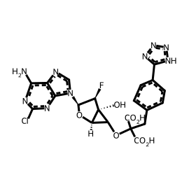 Nc1nc(Cl)nc2c1ncn2[C@@H]1O[C@@H]2C(OC(Cc3ccc(-c4nnn[nH]4)cc3)(C(=O)O)C(=O)O)[C@]2(O)[C@@H]1F